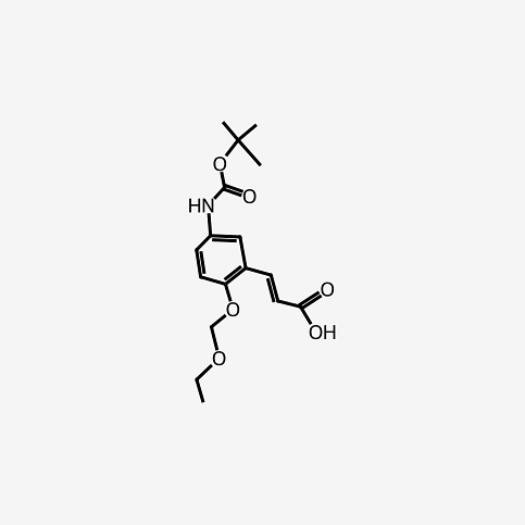 CCOCOc1ccc(NC(=O)OC(C)(C)C)cc1C=CC(=O)O